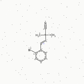 CC(C)(C#N)/C=C/c1ccccc1Br